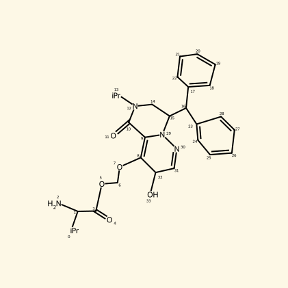 CC(C)C(N)C(=O)OCOC1=C2C(=O)N(C(C)C)CC(C(c3ccccc3)c3ccccc3)N2N=CC1O